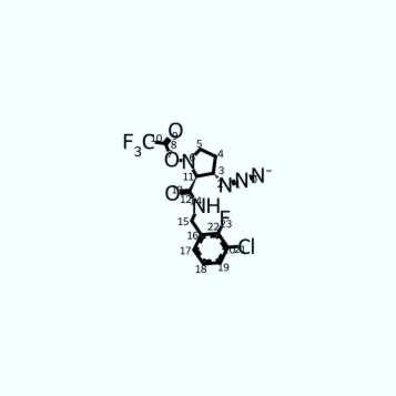 [N-]=[N+]=N[C@H]1CCN(OC(=O)C(F)(F)F)[C@@H]1C(=O)NCc1cccc(Cl)c1F